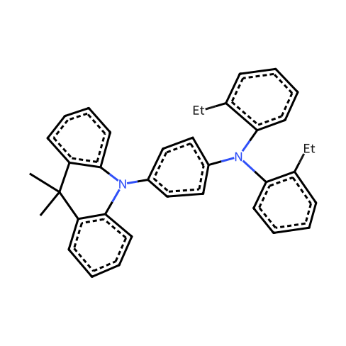 CCc1ccccc1N(c1ccc(N2c3ccccc3C(C)(C)c3ccccc32)cc1)c1ccccc1CC